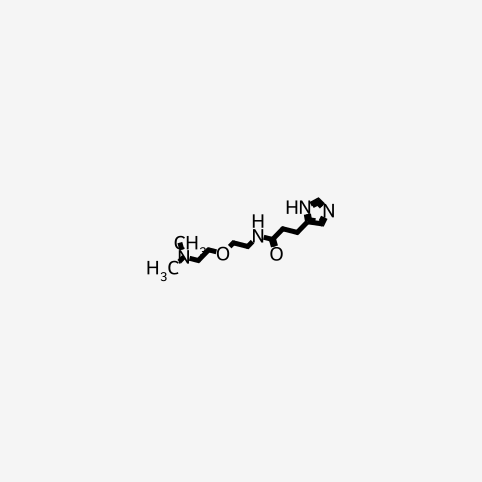 CN(C)CCOCCNC(=O)CCc1cnc[nH]1